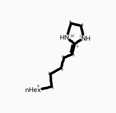 CCCCCCCCCCC=C1NCCN1